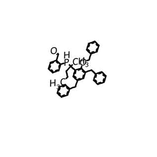 CCCC(C)(Pc1ccccc1C=O)c1cc(Cc2ccccc2)cc(Cc2ccccc2)c1OCc1ccccc1